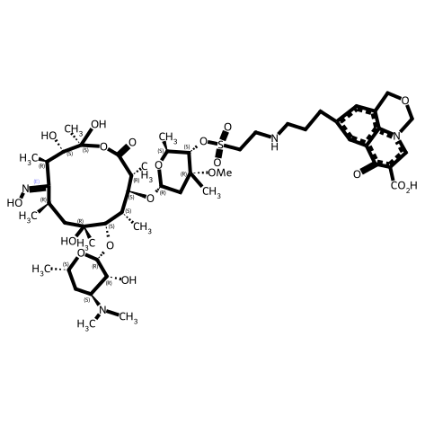 CO[C@]1(C)C[C@H](O[C@H]2[C@H](C)[C@H](O[C@H]3O[C@@H](C)C[C@H](N(C)C)[C@H]3O)[C@](C)(O)C[C@@H](C)/C(=N\O)[C@@H](C)[C@H](O)[C@@](C)(O)OC(=O)[C@@H]2C)O[C@@H](C)[C@@H]1OS(=O)(=O)CCNCCCc1cc2c3c(c1)c(=O)c(C(=O)O)cn3COC2